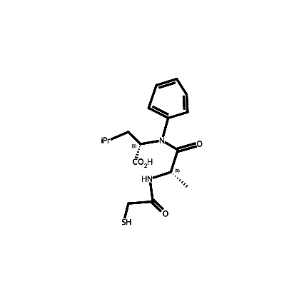 CC(C)C[C@@H](C(=O)O)N(C(=O)[C@H](C)NC(=O)CS)c1ccccc1